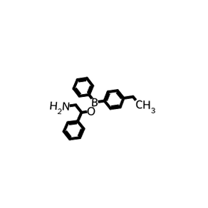 CCc1ccc(B(OC(CN)c2ccccc2)c2ccccc2)cc1